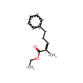 CCOC(=O)C(C)=CCCc1ccccc1